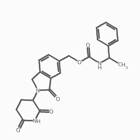 CC(NC(=O)OCc1ccc2c(c1)C(=O)N(C1CCC(=O)NC1=O)C2)c1ccccc1